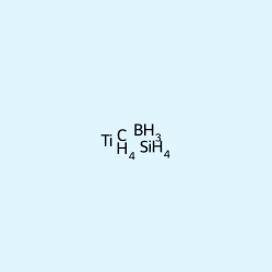 B.C.[SiH4].[Ti]